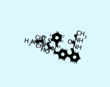 CCNC(=O)NCc1ccccc1-c1ccc(CN2Cc3ccccc3S[C@@H](NC(=O)C(C)(C)N)C2=O)cc1